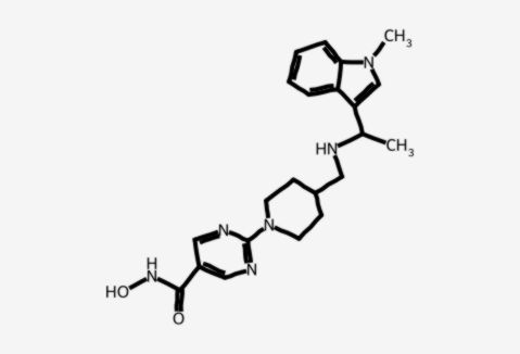 CC(NCC1CCN(c2ncc(C(=O)NO)cn2)CC1)c1cn(C)c2ccccc12